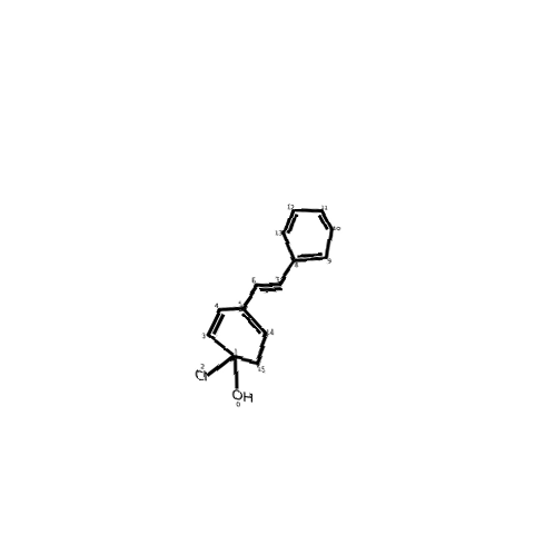 OC1(Cl)C=CC(C=Cc2ccccc2)=CC1